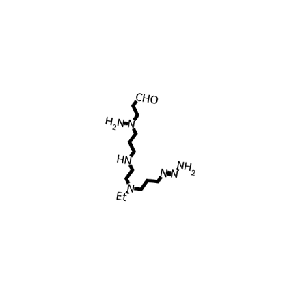 CCN(CCCN=NN)CCNCCCN(N)CCC=O